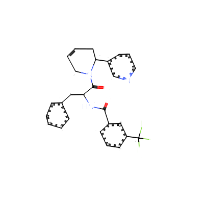 O=C(NC(Cc1ccccc1)C(=O)N1CC=CCC1c1cccnc1)c1cccc(C(F)(F)F)c1